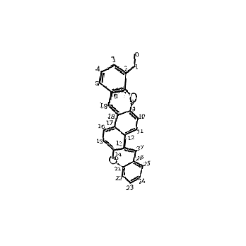 CCc1cccc2c1Oc1ccc3c4c(ccc3c1=C2)Oc1ccccc1C=4